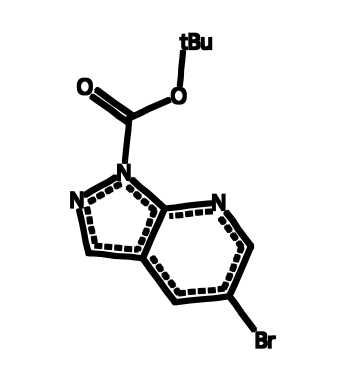 CC(C)(C)OC(=O)n1ncc2cc(Br)cnc21